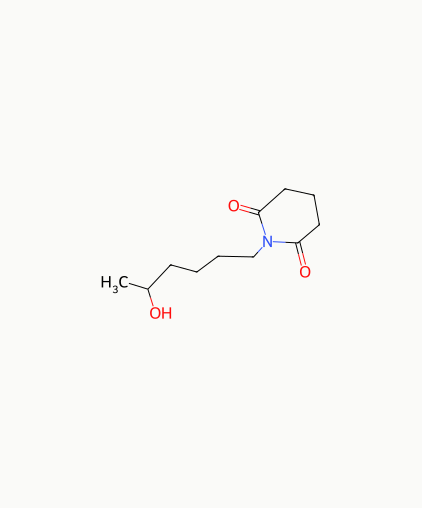 CC(O)CCCCN1C(=O)CCCC1=O